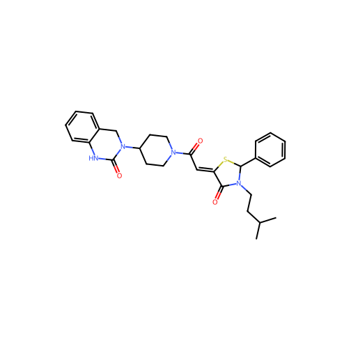 CC(C)CCN1C(=O)/C(=C/C(=O)N2CCC(N3Cc4ccccc4NC3=O)CC2)SC1c1ccccc1